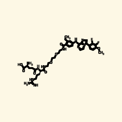 CCc1cc(Nc2nccn3c(-c4ccc(OC)c(F)c4F)cnc23)ccc1C(=O)NCCOCCOCCNC(=O)[C@H](CCCNC(=N)N)NC(=O)CC[C@H](N)C(=O)O